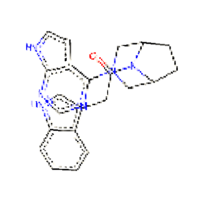 O=C(Cc1c[nH]c2ccccc12)N1C2CCC1CN(c1ncnc3[nH]ccc13)C2